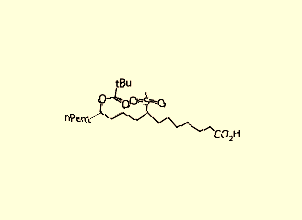 CCCCCC(CCCC(CCCCCCC(=O)O)S(C)(=O)=O)OC(=O)C(C)(C)C